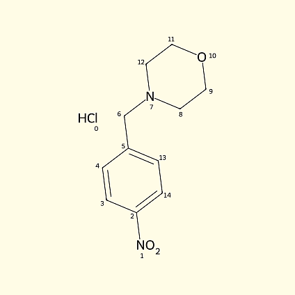 Cl.O=[N+]([O-])c1ccc(CN2CCOCC2)cc1